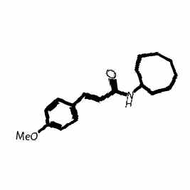 COc1ccc(C=CC(=O)NC2CCCCCCC2)cc1